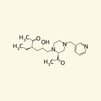 CC[C@H](C[C@H](O)CN1CCN(Cc2cccnc2)C[C@H]1C(C)=O)C(C)=O